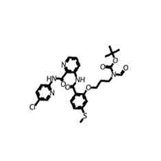 CSc1ccc(C(=O)Nc2cccnc2C(=O)Nc2ccc(Cl)cn2)c(OCCCN(C=O)C(=O)OC(C)(C)C)c1